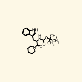 CC(C)(C)OC(=O)NC(Cc1c[nH]c2ccccc12)C(=O)N1CC[CH]CC1